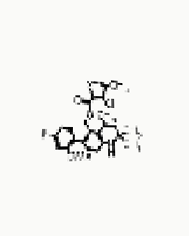 COc1cc(F)ccc1-c1ccc2c(c1COC(=O)c1scc(C)c1Cl)C(C)=CC(C)(C)N2